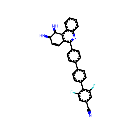 N#Cc1cc(F)c(-c2ccc(-c3ccc(-c4nc5ccccc5c5c4C=CC(=N)C5=N)cc3)cc2)c(F)c1